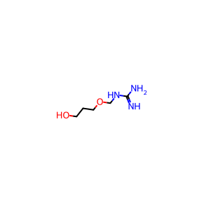 N=C(N)NCOCCCO